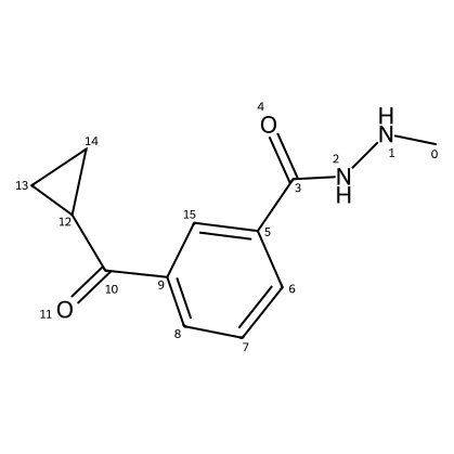 CNNC(=O)c1cccc(C(=O)C2CC2)c1